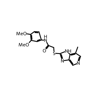 COc1ccc(NC(=O)CSc2nc3cncc(C)c3[nH]2)cc1OC